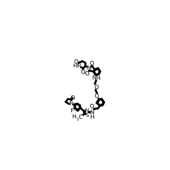 Cc1sc(NC(=O)Cc2cccc(OCCOCCNc3cccc4c3C(=O)N(C3CCC(=O)NC3=O)C4=O)c2)nc1-c1ccc(N2CCCC2=O)c(F)c1